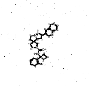 O=C(NC1(c2ccccc2F)CCC1)N1CCC2(CCN3NC(c4cnc5ccccc5c4)C=C32)C1